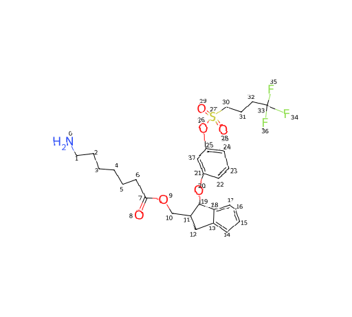 NCCCCCCC(=O)OCC1Cc2ccccc2C1Oc1cccc(OS(=O)(=O)CCCC(F)(F)F)c1